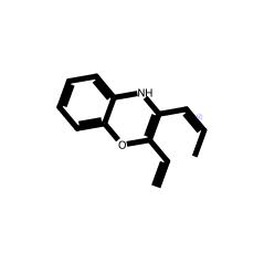 C=CC1=C(/C=C\C)Nc2ccccc2O1